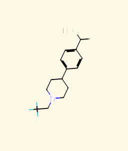 CC(C)c1ccc(C2CCN(CC(F)(F)F)CC2)cc1